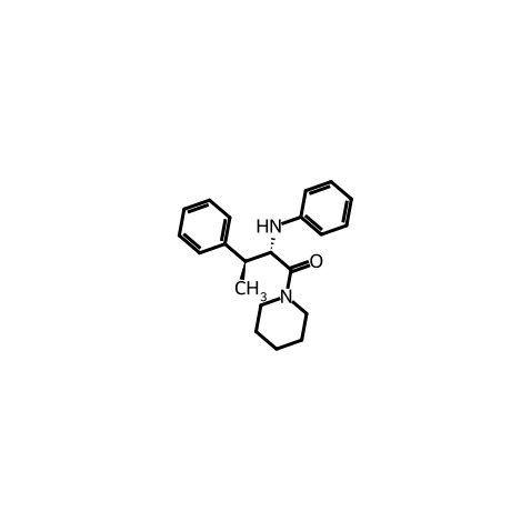 C[C@@H](c1ccccc1)[C@H](Nc1ccccc1)C(=O)N1CCCCC1